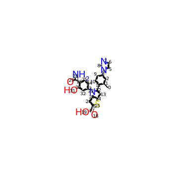 Cc1cc(-n2ccnc2)ccc1-c1cc2sc(C(=O)O)cc2n1-c1ccc(C(N)=O)c(O)c1